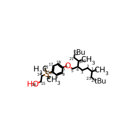 CC(CCC(COc1ccc(S(C)(C)CCO)cc1)C(C)CC(C)(C)C)CC(C)(C)C